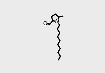 CCCCCCCCCCN1C(C)CCC1C=O